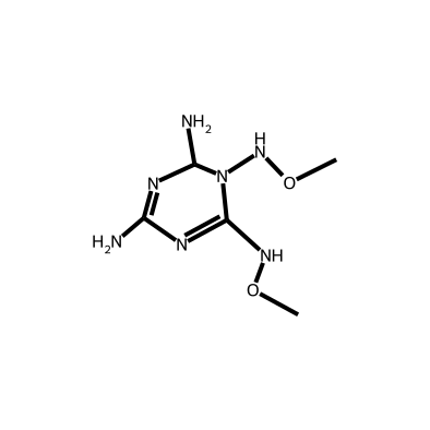 CONC1=NC(N)=NC(N)N1NOC